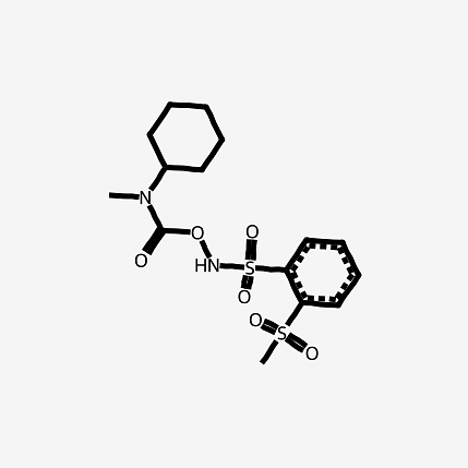 CN(C(=O)ONS(=O)(=O)c1ccccc1S(C)(=O)=O)C1CCCCC1